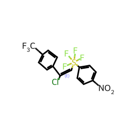 O=[N+]([O-])c1ccc(S(F)(F)(F)(F)/C=C(/Cl)c2ccc(C(F)(F)F)cc2)cc1